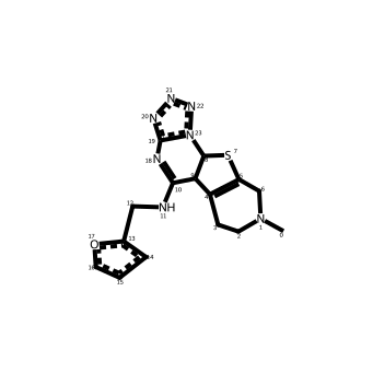 CN1CCC2=C(C1)SC1C2C(NCc2ccco2)=Nc2nnnn21